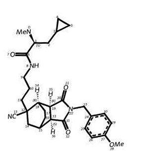 CN[C@@H](CC1CC1)C(=O)NCCCC1(C#N)CC2CC[C@@H]1[C@H]1C(=O)N(Cc3ccc(OC)cc3)C(=O)[C@@H]21